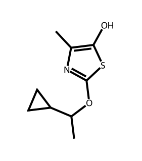 Cc1nc(OC(C)C2CC2)sc1O